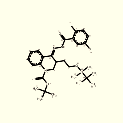 CC(C)(C)OC(=O)N1CC(CCO[Si](C)(C)C(C)(C)C)/C(=N\NC(=O)c2cc(F)ccc2F)c2ccccc21